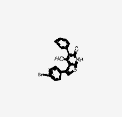 O=c1[nH]c2scc(-c3ccc(Br)cc3)c2c(O)c1-c1ccccc1